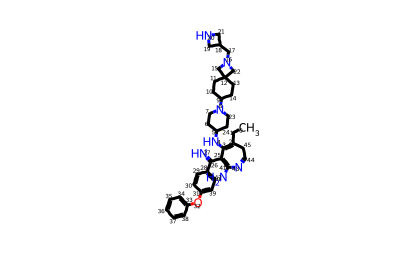 CCC1=C(NC2CCN(C3CCC4(CC3)CN(CC3CNC3)C4)CC2)C(C(=N)c2ccc(Oc3ccccc3)cc2)=C(N)N=CC1